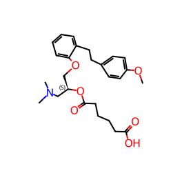 COc1ccc(CCc2ccccc2OC[C@H](CN(C)C)OC(=O)CCCCC(=O)O)cc1